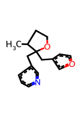 CC1CCOC1(Cc1cccnc1)Cc1ccoc1